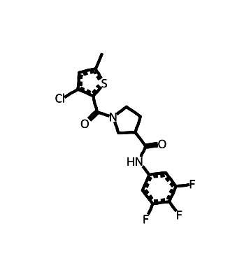 Cc1cc(Cl)c(C(=O)N2CCC(C(=O)Nc3cc(F)c(F)c(F)c3)C2)s1